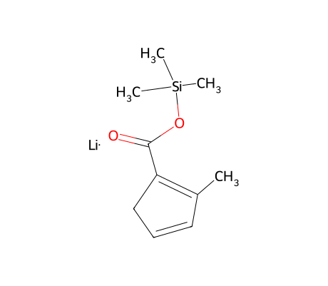 CC1=C(C(=O)O[Si](C)(C)C)CC=C1.[Li]